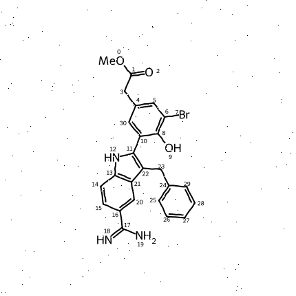 COC(=O)Cc1cc(Br)c(O)c(-c2[nH]c3ccc(C(=N)N)cc3c2Cc2ccccc2)c1